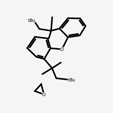 C1CO1.CC(C)(C)CC(C)(C)c1ccccc1Oc1ccccc1C(C)(C)CC(C)(C)C